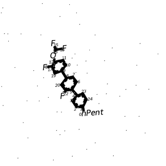 CCCCCc1ccc(-c2ccc(-c3ccc(OC(F)F)c(F)c3)cc2F)cc1